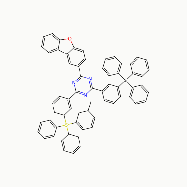 CC1C=CC=C(S(c2ccccc2)(C2C=CC=CC2)C2C=C(c3nc(-c4cccc([Si](c5ccccc5)(c5ccccc5)c5ccccc5)c4)nc(-c4ccc5oc6ccccc6c5c4)n3)C=CC2)C1